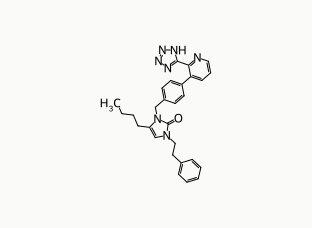 CCCCc1cn(CCc2ccccc2)c(=O)n1Cc1ccc(-c2cccnc2-c2nnn[nH]2)cc1